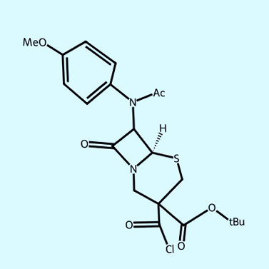 COc1ccc(N(C(C)=O)C2C(=O)N3CC(C(=O)Cl)(C(=O)OC(C)(C)C)CS[C@H]23)cc1